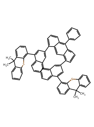 CC1(C)c2ccccc2Sc2c(-c3cc(-c4cccc5c(-c6ccccc6)c6cccc(-c7cc(-c8cccc9c8Sc8ccccc8C9(C)C)c8ccccc8c7)c6cc45)cc4ccccc34)cccc21